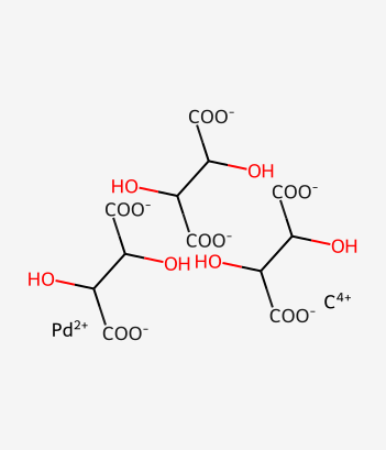 O=C([O-])C(O)C(O)C(=O)[O-].O=C([O-])C(O)C(O)C(=O)[O-].O=C([O-])C(O)C(O)C(=O)[O-].[C+4].[Pd+2]